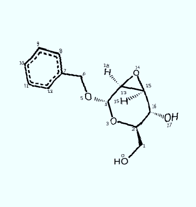 OC[C@H]1O[C@H](OCc2ccccc2)[C@H]2O[C@H]2[C@@H]1O